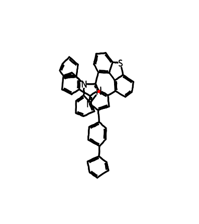 c1ccc(-c2ccc(-c3cc(-c4cccc5sc6cccc(-c7nc8ccccc8n7-c7ccccc7)c6c45)nc(-c4ccccc4)n3)cc2)cc1